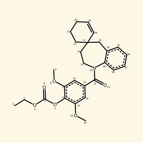 CCOC(=O)Oc1c(OC)cc(C(=O)N2CCC3(C=CCCC3)Cc3ccccc32)cc1OC